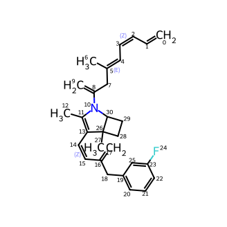 C=C/C=C\C=C(/C)CC(=C)N1C(C)=C(/C=C\C(=C)Cc2cccc(F)c2)C2(C)CCC12